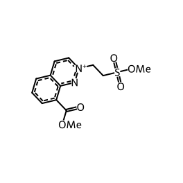 COC(=O)c1cccc2cc[n+](CCS(=O)(=O)OC)nc12